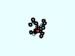 c1ccc(-n2c3ccccc3c3ccc(-c4nc(-c5ccc6oc7ccccc7c6c5)nc(-c5c(-n6c7cc8ccccc8cc7c7c8ccccc8ccc76)ccc6c5oc5c7ccccc7ccc65)n4)cc32)cc1